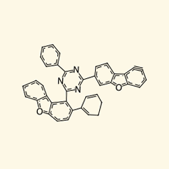 c1ccc2oc3cc(-c4nc(-c5ccccc5)nc(-c5c(C6=CCCC=C6)ccc6oc7ccccc7c56)n4)ccc3c2c#1